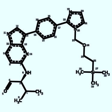 CC(C)[C@@H](C=O)Nc1ccn2ncc(-c3ccc(-c4nccn4COCC[Si](C)(C)C)cc3)c2n1